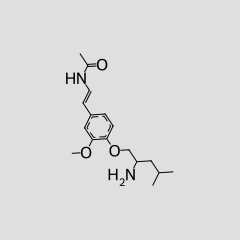 COc1cc(C=CNC(C)=O)ccc1OCC(N)CC(C)C